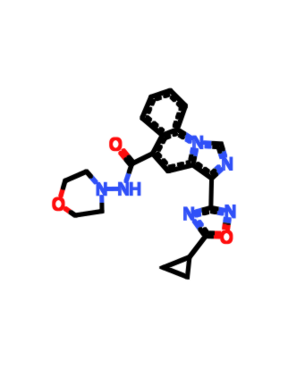 O=C(NN1CCOCC1)c1cc2c(-c3noc(C4CC4)n3)ncn2c2ccccc12